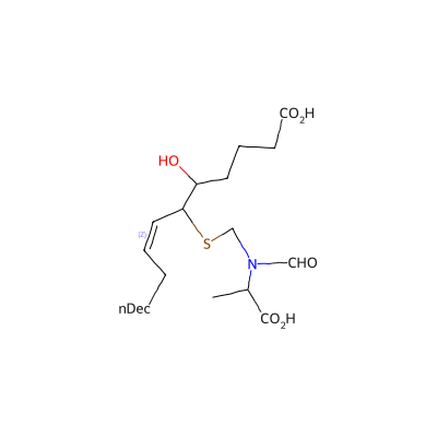 CCCCCCCCCCC/C=C\C(SCN(C=O)C(C)C(=O)O)C(O)CCCC(=O)O